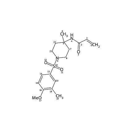 C=CC(=O)NC1(C)CCN(S(=O)(=O)c2ccc(OC)c(C)c2)CC1